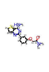 CNc1nc(-c2cccc(OCC(=O)N(C)C)c2)nc2ccsc12